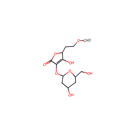 O=COCCC1OC(=O)C(OC2CC(O)CC(CO)O2)=C1O